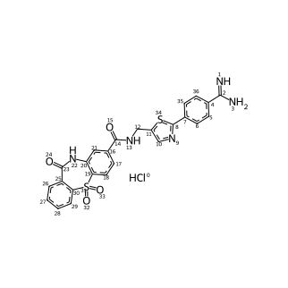 Cl.N=C(N)c1ccc(-c2ncc(CNC(=O)c3ccc4c(c3)NC(=O)c3ccccc3S4(=O)=O)s2)cc1